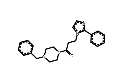 O=C(CCn1ccnc1-c1ccccc1)N1CCN(Cc2ccccc2)CC1